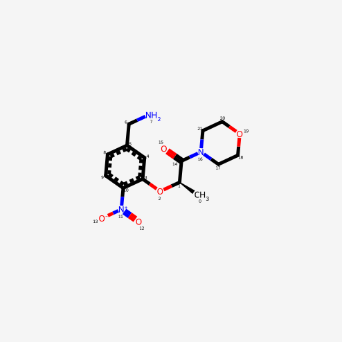 C[C@@H](Oc1cc(CN)ccc1[N+](=O)[O-])C(=O)N1CCOCC1